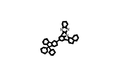 c1ccc(C2(c3ccccc3)c3ccccc3-c3cc(-c4cc5c6ccc7ccccc7c6n6c7nc8ccccc8nc7c(c4)c56)ccc32)cc1